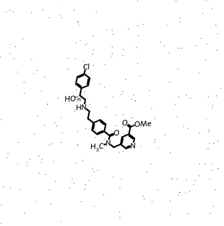 COC(=O)c1cncc(CN(C)C(=O)c2ccc(CCNC[C@H](O)c3ccc(Cl)cc3)cc2)c1